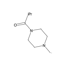 [CH2]N1CCN(C(=O)C(C)C)CC1